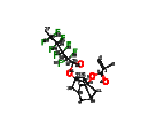 C=C(C)C(=O)OC12CC3CC(C1)CC(OC(=O)C(F)(F)C(F)(F)C(F)(F)C(C)(F)F)(C3)C2